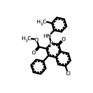 COC(=O)c1c(-c2ccccc2)c2cc(Cl)ccc2c(=O)n1Nc1ccccc1C